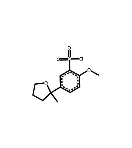 COc1ccc(C2(C)CCCO2)cc1S(=O)(=O)Cl